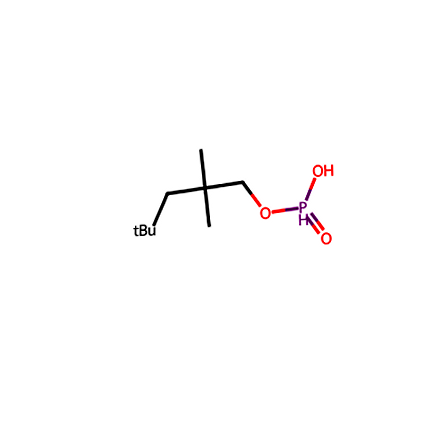 CC(C)(C)CC(C)(C)CO[PH](=O)O